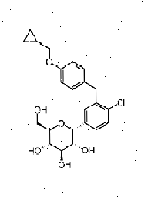 OC[C@H]1O[C@H](c2ccc(Cl)c(Cc3ccc(OCC4CC4)cc3)c2)[C@H](O)[C@@H](O)[C@@H]1O